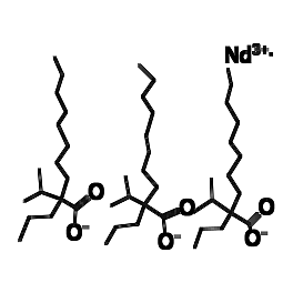 CCCCCCCCC(CCC)(C(=O)[O-])C(C)C.CCCCCCCCC(CCC)(C(=O)[O-])C(C)C.CCCCCCCCC(CCC)(C(=O)[O-])C(C)C.[Nd+3]